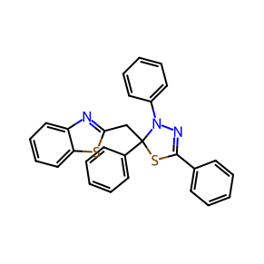 c1ccc(C2=NN(c3ccccc3)C(Cc3nc4ccccc4s3)(c3ccccc3)S2)cc1